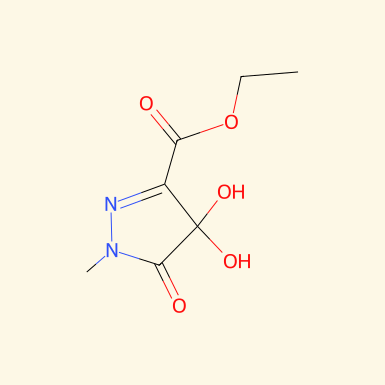 CCOC(=O)C1=NN(C)C(=O)C1(O)O